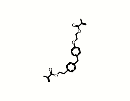 C=C(C)C(=O)OCCOc1ccc(Cc2ccc(CCOC(=O)C(=C)C)cc2)cc1